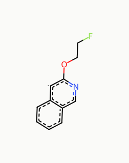 FCCOc1[c]c2ccccc2cn1